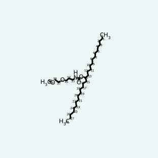 CCCCCCCCCCCCCCC(CCCCCCCCCCCCCC)OC(=O)NCCCOCCOC